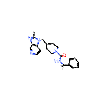 Cc1nc2cnccc2n1CC1CCN(C(=O)N[C@@H](C)c2ccccc2)CC1